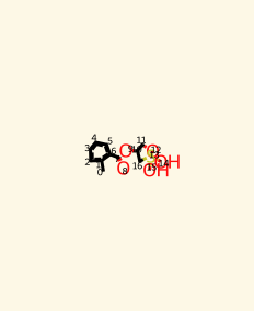 Cc1ccccc1C(=O)OC1COS(O)(O)C1